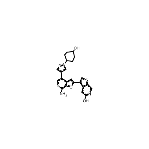 Nc1ncc(-c2cnn(C3CCC(O)CC3)c2)c2cc(-c3csc4cnc(O)cc34)oc12